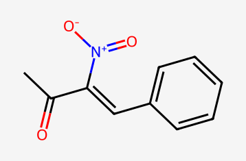 CC(=O)C(=Cc1ccccc1)[N+](=O)[O-]